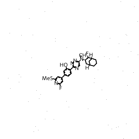 CSc1cc(-c2ccc(-c3ncc(N(C)[C@@H]4C[C@H]5CCC[C@H](C5)[C@@H]4F)nn3)c(O)c2)cc(F)n1